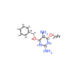 CCCOc1nc(N)nc(OCc2ccccc2)c1N